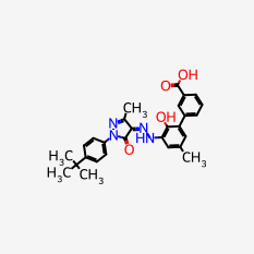 CC1=NN(c2ccc(C(C)(C)C)cc2)C(=O)C1=NNc1cc(C)cc(-c2cccc(C(=O)O)c2)c1O